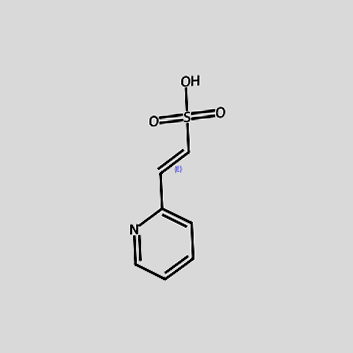 O=S(=O)(O)/C=C/c1ccccn1